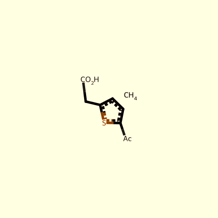 C.CC(=O)c1ccc(CC(=O)O)s1